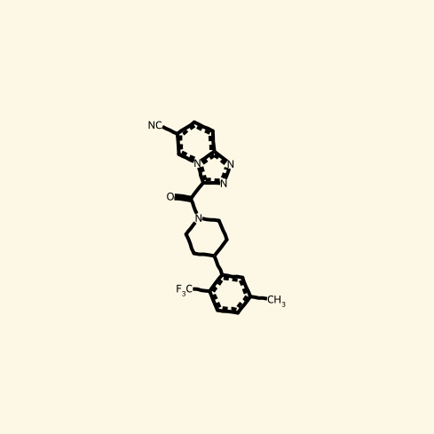 Cc1ccc(C(F)(F)F)c(C2CCN(C(=O)c3nnc4ccc(C#N)cn34)CC2)c1